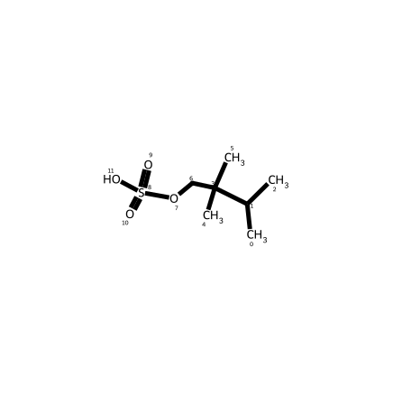 CC(C)C(C)(C)COS(=O)(=O)O